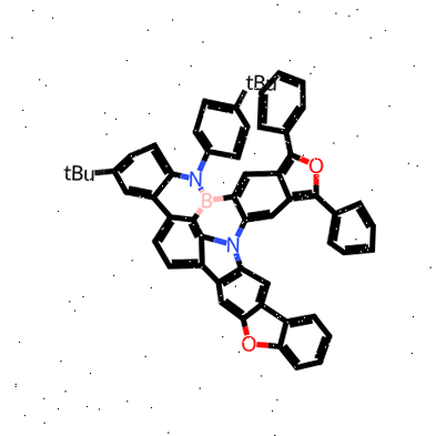 CC(C)(C)c1ccc(N2B3c4cc5c(-c6ccccc6)oc(-c6ccccc6)c5cc4-n4c5cc6c(cc5c5ccc(c3c54)-c3cc(C(C)(C)C)ccc32)oc2ccccc26)cc1